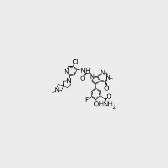 CN1CC2(CCN(c3cc(NC(=O)Cn4cc(-c5cc(F)c(O)c(C(N)=O)c5)c5c(=O)n(C)cnc54)c(Cl)cn3)C2)C1